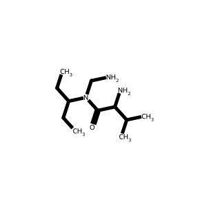 CCC(CC)N(CN)C(=O)C(N)C(C)C